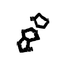 C1=CSCN1.c1ncc2[nH]cnc2n1